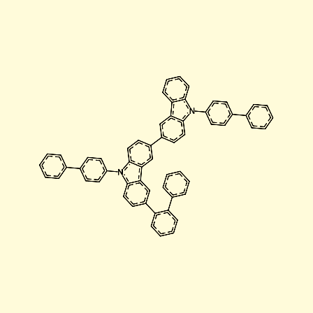 c1ccc(-c2ccc(-n3c4ccccc4c4cc(-c5ccc6c(c5)c5cc(-c7ccccc7-c7ccccc7)ccc5n6-c5ccc(-c6ccccc6)cc5)ccc43)cc2)cc1